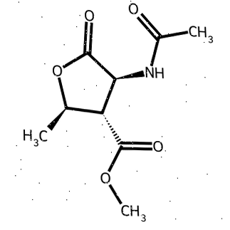 COC(=O)[C@H]1[C@H](NC(C)=O)C(=O)O[C@@H]1C